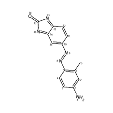 Cc1cc(N)ccc1N=Nc1ccc2c(c1)=NC(=O)N=2